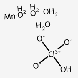 O.O.O.O.[Mn].[O-][Cl+3]([O-])([O-])O